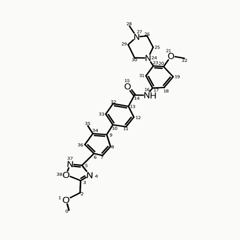 COCc1nc(-c2ccc(-c3ccc(C(=O)Nc4ccc(OC)c(N5CCN(C)CC5)c4)cc3)c(C)c2)no1